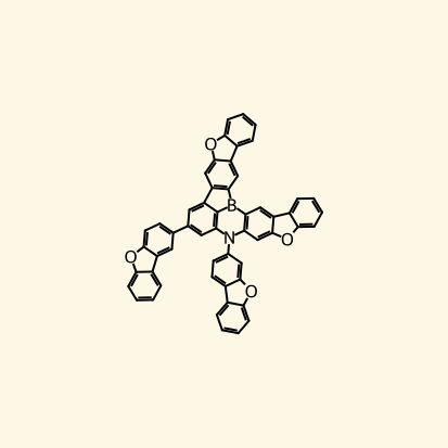 c1ccc2c(c1)oc1cc(N3c4cc5oc6ccccc6c5cc4B4c5cc6c(cc5-c5cc(-c7ccc8oc9ccccc9c8c7)cc3c54)oc3ccccc36)ccc12